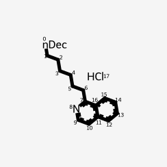 CCCCCCCCCCCCCCCCc1nccc2ccccc12.Cl